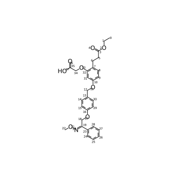 CCOC(=O)CCc1ccc(OCc2ccc(OC/C(=N\OC)c3ccccc3)cc2)cc1OCC(=O)O